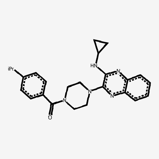 CC(C)c1ccc(C(=O)N2CCN(c3nc4ccccc4nc3NC3CC3)CC2)cc1